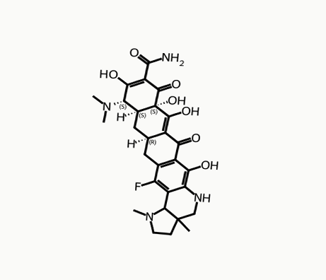 CN1CCC2(C)CNc3c(O)c4c(c(F)c3C12)C[C@H]1C[C@H]2[C@H](N(C)C)C(O)=C(C(N)=O)C(=O)[C@@]2(O)C(O)=C1C4=O